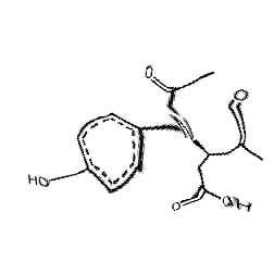 CC(=O)[C@@H](C(=O)O)N(C(C)=O)c1ccc(O)cc1